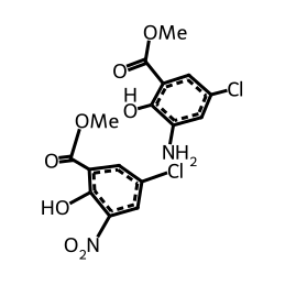 COC(=O)c1cc(Cl)cc(N)c1O.COC(=O)c1cc(Cl)cc([N+](=O)[O-])c1O